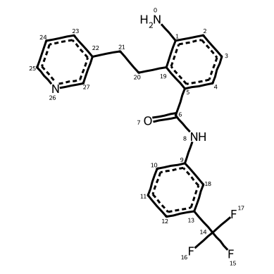 Nc1cccc(C(=O)Nc2cccc(C(F)(F)F)c2)c1CCc1cccnc1